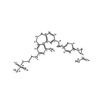 Cc1cc(OCCCS(C)(=O)=O)cc2c1-c1cc(CNc3ccc([C@H]4C[C@@H]4C(=O)O)cc3)ccc1CCC2